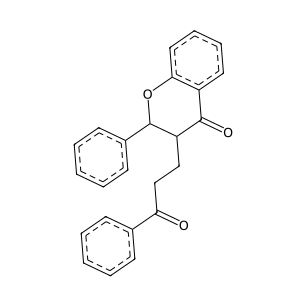 O=C(CCC1C(=O)c2ccccc2OC1c1ccccc1)c1ccccc1